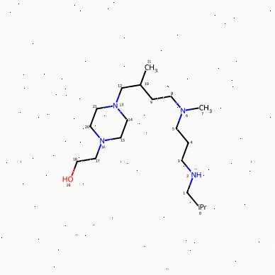 CC(C)CNCCCN(C)CCC(C)CN1CCN(CCO)CC1